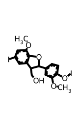 COc1cc(C2Oc3c(OC)cc(I)cc3C2CO)ccc1OI